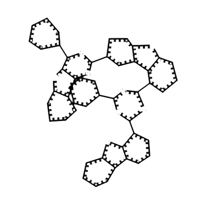 c1ccc(-c2nc(-c3cccc4c3oc3ccccc34)nc(-c3cccc4sc5ccc(-c6nc(-c7ccccc7)c7oc8ccccc8c7n6)cc5c34)n2)cc1